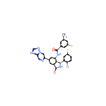 O=C(Nc1cc(-c2cn3ncnc3cn2)cc2c1[C@@H](c1cc(F)ccc1Cl)NC2=O)c1cc(F)cc(C(F)(F)F)c1